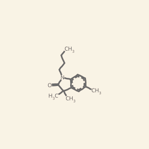 CCCCN1C(=O)C(C)(C)c2cc(C)ccc21